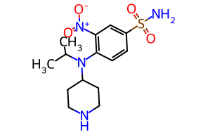 CC(C)N(c1ccc(S(N)(=O)=O)cc1[N+](=O)[O-])C1CCNCC1